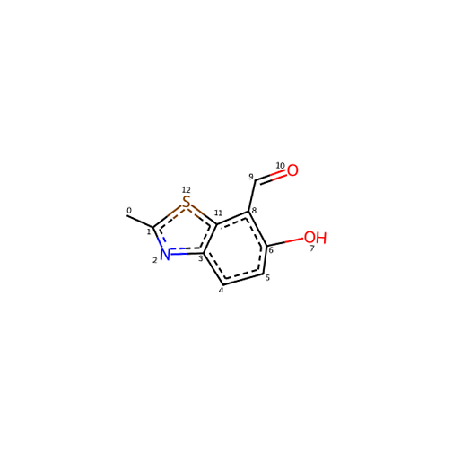 Cc1nc2ccc(O)c(C=O)c2s1